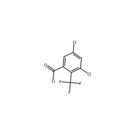 O=C(Cl)c1cc(Cl)cc(Cl)c1C(F)(F)F